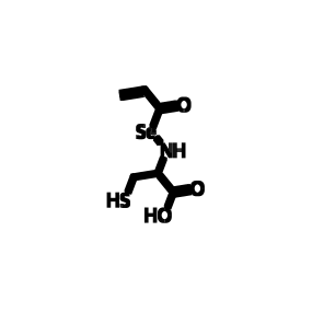 C=CC(=O)[Se]NC(CS)C(=O)O